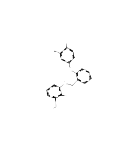 OCc1cccc(NCc2ccccc2Sc2ccc(Cl)c(Cl)c2)c1O